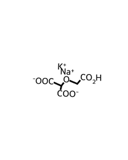 O=C(O)COC(C(=O)[O-])C(=O)[O-].[K+].[Na+]